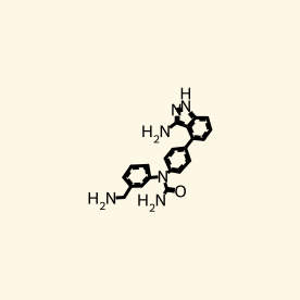 NCc1cccc(N(C(N)=O)c2ccc(-c3cccc4[nH]nc(N)c34)cc2)c1